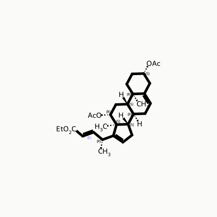 CCOC(=O)/C=C/[C@@H](C)C1=CC[C@H]2[C@@H]3CC=C4C[C@@H](OC(C)=O)CC[C@]4(C)[C@H]3C[C@@H](OC(C)=O)[C@]12C